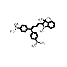 CN(C)c1ccc(C(=CC=CC2N(C)c3ccccc3C2(C)C)c2ccc(N(C)C)cc2)cc1